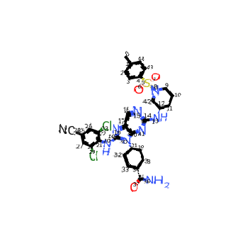 Cc1ccc(S(=O)(=O)N2CCC[C@@H](Nc3ncc4nc(Nc5c(Cl)cc(C#N)cc5Cl)n([C@H]5CC[C@@H](C(N)=O)CC5)c4n3)C2)cc1